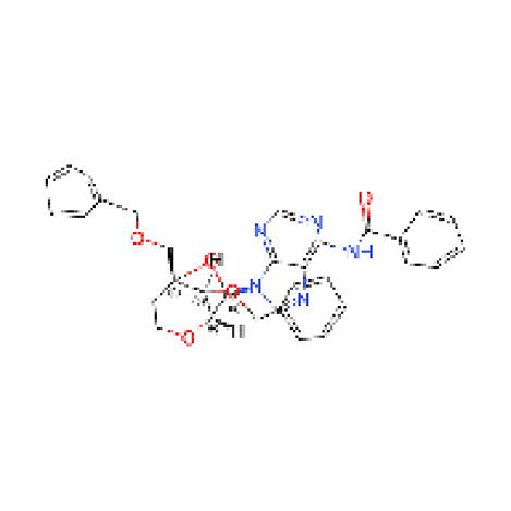 O=C(Nc1ncnc2c1ncn2[C@@H]1O[C@@]2(COCc3ccccc3)CCO[C@@H]1[C@@H]2OCc1ccccc1)c1ccccc1